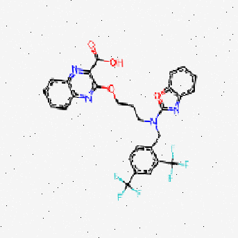 O=C(O)c1nc2ccccc2nc1OCCCN(Cc1ccc(C(F)(F)F)cc1C(F)(F)F)c1nc2ccccc2o1